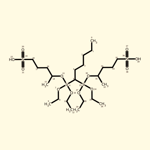 CCCCCC([Si](OCC)(OCC)OC(C)CCCS(=O)(=O)O)[Si](OCC)(OCC)OC(C)CCCS(=O)(=O)O